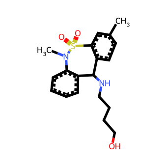 Cc1ccc2c(c1)S(=O)(=O)N(C)c1ccccc1C2NCCCCO